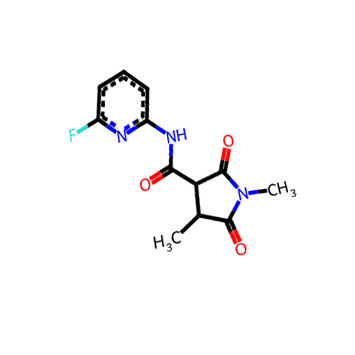 CC1C(=O)N(C)C(=O)C1C(=O)Nc1cccc(F)n1